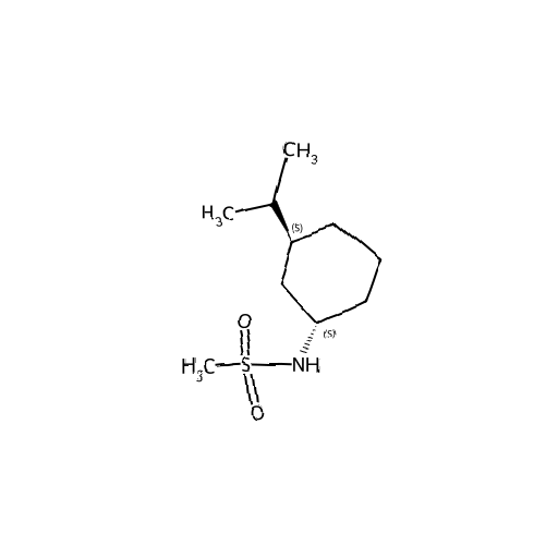 CC(C)[C@H]1CCC[C@H](NS(C)(=O)=O)C1